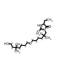 CCC1NC(=O)N(CC(C)(C)CCCCOCCCCC(C)(C)CCO)C1=O